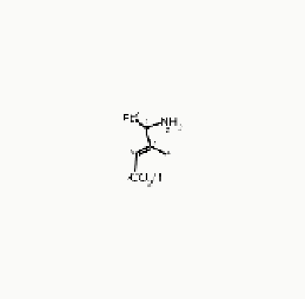 CCC(N)C(C)=CC(=O)O